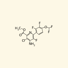 COC(=O)c1nc(-c2ccc(OC(F)F)c(F)c2F)c(F)c(N)c1Cl